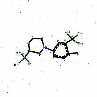 Cc1ccc(N2CCCC(C(F)(F)F)C2)cc1C(F)(F)F